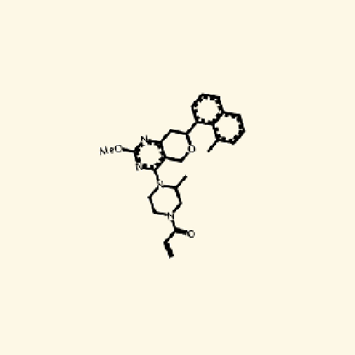 C=CC(=O)N1CCN(c2nc(OC)nc3c2COC(c2cccc4cccc(C)c24)C3)C(C)C1